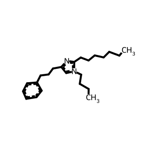 CCCCCCCc1nc(CCCc2ccccc2)cn1CCCC